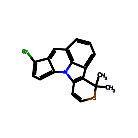 CC1(C)SC=Cc2c1c1cccc3cc4c(Br)ccc4n2c31